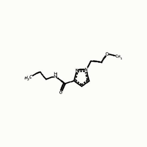 CCCNC(=O)c1ccn(CCOC)n1